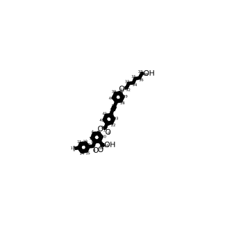 O=C(Oc1ccc(C(=O)c2ccc(I)cc2)c(C(=O)O)c1)c1ccc(C#Cc2ccc(OCCCCCCO)cc2)cc1